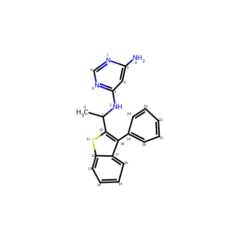 CC(Nc1cc(N)ncn1)c1sc2ccccc2c1-c1ccccc1